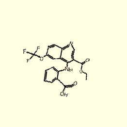 CCOC(=O)c1cnc2ccc(OC(F)(F)F)cc2c1Nc1ccccc1C(=O)O